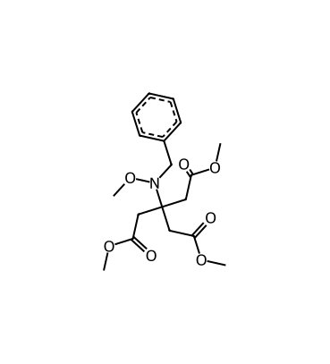 COC(=O)CC(CC(=O)OC)(CC(=O)OC)N(Cc1ccccc1)OC